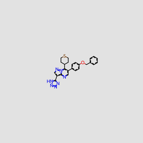 c1ccc(COc2ccc(-c3cnc4c(-c5nnn[nH]5)cnn4c3C3CCSCC3)cc2)cc1